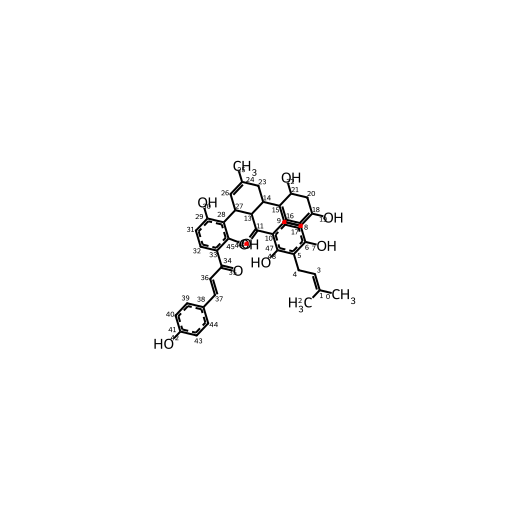 CC(C)=CCc1c(O)c#cc(C(=O)C2C(C3=CC=C(O)CC3O)CC(C)=CC2c2c(O)ccc(C(=O)/C=C/c3ccc(O)cc3)c2O)c1O